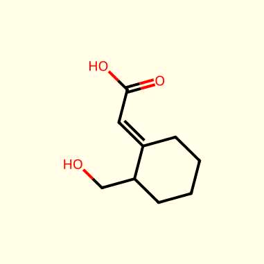 O=C(O)C=C1CCCCC1CO